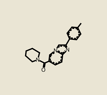 Cc1ccc(-c2cn3cc(C(=O)N4CCCCC4)ccc3n2)cc1